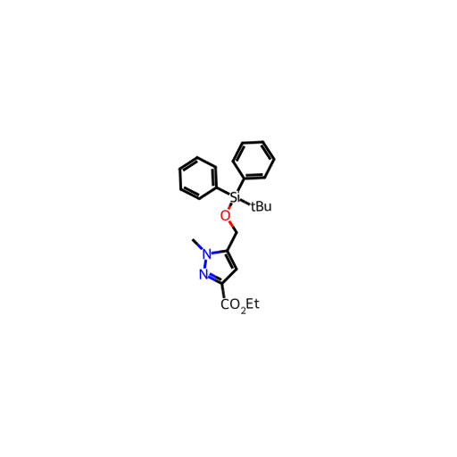 CCOC(=O)c1cc(CO[Si](c2ccccc2)(c2ccccc2)C(C)(C)C)n(C)n1